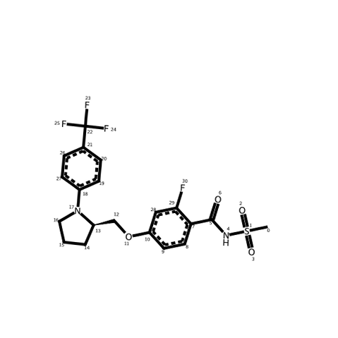 CS(=O)(=O)NC(=O)c1ccc(OC[C@H]2CCCN2c2ccc(C(F)(F)F)cc2)cc1F